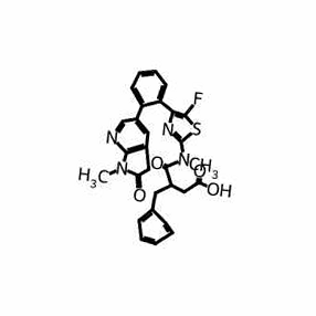 CN(C(=O)C(CC(=O)O)Cc1ccccc1)c1nc(-c2ccccc2-c2cnc3c(c2)CC(=O)N3C)c(F)s1